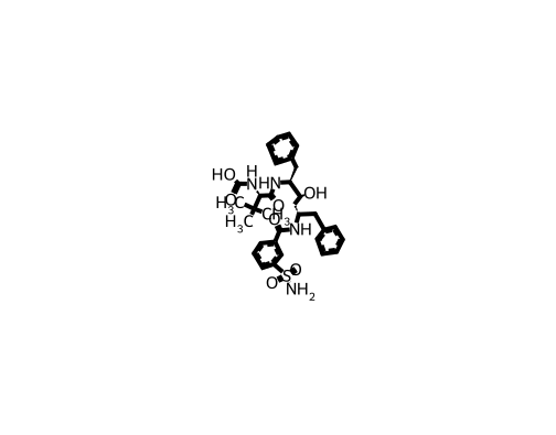 CC(C)(C)[C@H](NC(=O)O)C(=O)N[C@@H](Cc1ccccc1)[C@H](O)C[C@H](Cc1ccccc1)NC(=O)c1cccc(S(N)(=O)=O)c1